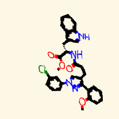 COC(=O)[C@H](Cc1c[nH]c2ccccc12)NC(=O)/C=C\c1cn(-c2cccc(Cl)c2)nc1-c1ccccc1OC